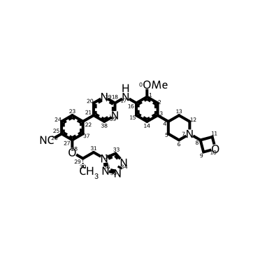 COc1cc(C2CCN(C3COC3)CC2)ccc1Nc1ncc(-c2ccc(C#N)c(O[C@@H](C)Cn3cnnn3)c2)cn1